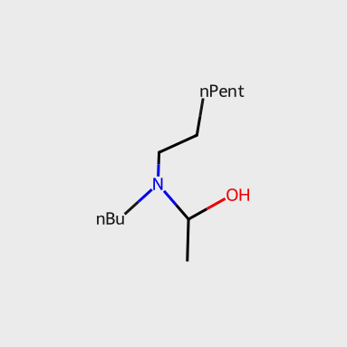 CCCCCCCN(CCCC)C(C)O